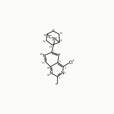 Cc1nc(Cl)c2cc(N3CC4CCC3CC4)ncc2n1